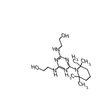 CC1(C)CCCC(C)(C)N1c1nc(NCCO)nc(NCCO)n1